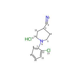 Cl.N#CC1CCN(c2ccccc2Cl)CC1